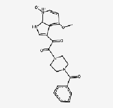 COC1=C2C(C(=O)C(=O)N3CCN(C(=O)c4ccccc4)CC3)=CNC2[NH+]([O-])C=C1